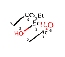 CC(C)=O.CCO.CCOC(C)=O.O